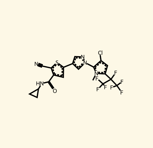 Cn1c(C(F)(C(F)(F)F)C(F)(F)F)cc(Cl)c1-n1cc(-c2cc(C(=O)NC3CC3)c(C#N)s2)cn1